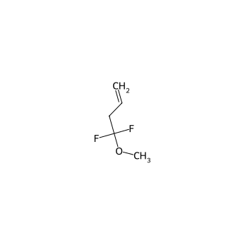 C=CCC(F)(F)OC